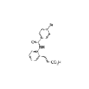 O=C(O)/C=C/c1ccccc1NC(=O)c1ccc(Br)cc1